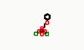 O=P(OCl)(OCl)OCCOc1ccccc1